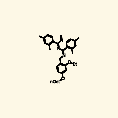 C=N/C(=N\C(=N/Cc1ccc(OCCCCCCCC)cc1OCC)c1ccc(C)cc1C)c1ccc(C)cc1C